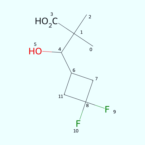 CC(C)(C(=O)O)C(O)C1CC(F)(F)C1